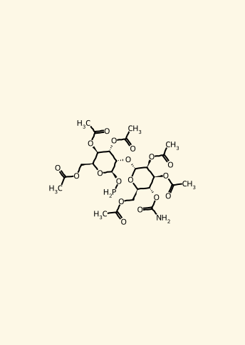 CC(=O)OC[C@@H]1O[C@H](OP)[C@@H](O[C@H]2O[C@H](COC(C)=O)[C@@H](OC(N)=O)[C@H](OC(C)=O)[C@@H]2OC(C)=O)[C@@H](OC(C)=O)[C@@H]1OC(C)=O